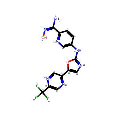 N/C(=N/O)c1ccc(Nc2ncc(-c3cnc(C(F)(F)F)cn3)o2)cn1